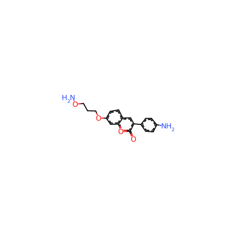 NOCCCOc1ccc2cc(-c3ccc(N)cc3)c(=O)oc2c1